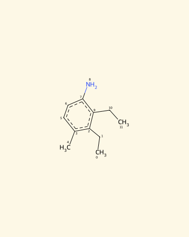 CCc1c(C)ccc(N)c1CC